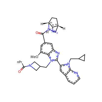 CCCC(=O)N1CC(Cn2c(-c3cc4cccnc4n3CC3CC3)nc3cc(C(=O)N4C[C@H]5CC[C@@H]4[C@@H]5N)cc(OC)c32)C1